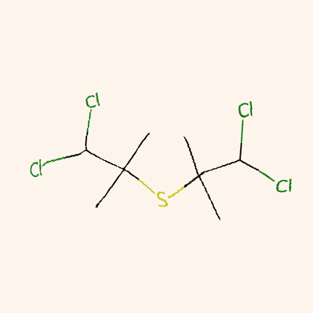 CC(C)(SC(C)(C)C(Cl)Cl)C(Cl)Cl